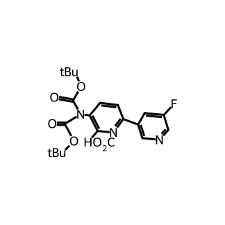 CC(C)(C)OC(=O)N(C(=O)OC(C)(C)C)c1ccc(-c2cncc(F)c2)nc1C(=O)O